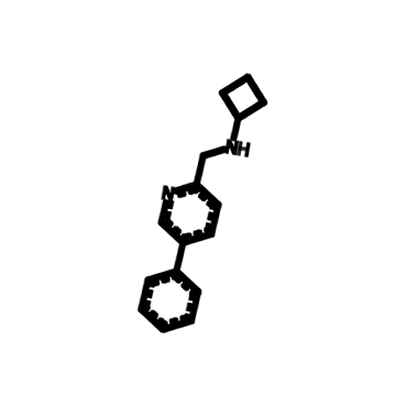 c1ccc(-c2ccc(CNC3CCC3)nc2)cc1